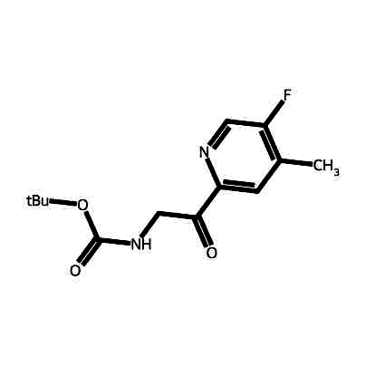 Cc1cc(C(=O)CNC(=O)OC(C)(C)C)ncc1F